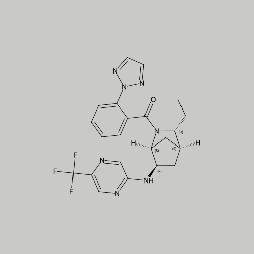 CC[C@@H]1[C@H]2C[C@@H](Nc3cnc(C(F)(F)F)cn3)[C@H](C2)N1C(=O)c1ccccc1-n1nccn1